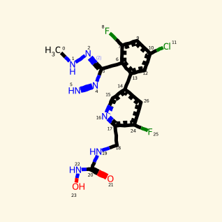 CN/N=C(\N=N)c1c(F)cc(Cl)cc1-c1cnc(CNC(=O)NO)c(F)c1